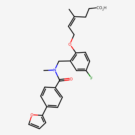 CC(=CCOc1ccc(F)cc1CN(C)C(=O)c1ccc(-c2ccco2)cc1)CCC(=O)O